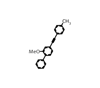 COc1cc(C#Cc2ccc(C)cc2)ccc1-c1ccccc1